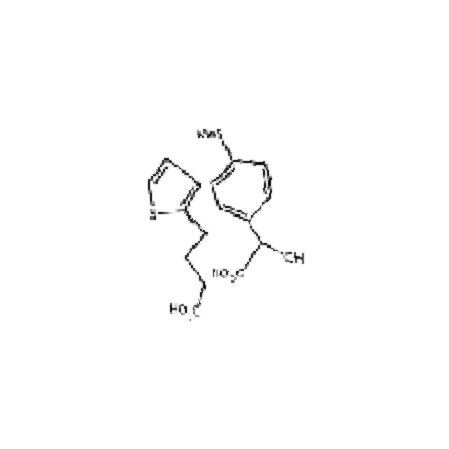 CSc1ccc(C(O)C(=O)O)cc1.O=C(O)CCCc1cccs1